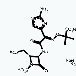 CC(=O)OC[C@H]1[C@@H](NC(=O)/C(=N/OC(C)(C)C(=O)O)c2csc(N)n2)C(=O)N1S(=O)(=O)O.[NaH].[NaH]